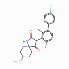 COC1CCC2(CC1)NC(=O)C(c1c(C)ccc(-c3ccc(F)cc3)c1C)C2=O